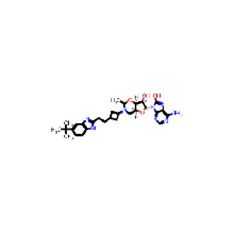 CC1O[C@H]2[C@@H](O)[C@H](n3c(O)nc4c(N)ncnc43)O[C@@H]2CN1C1CC(CCc2nc3cc(C(C)(C)C)ccc3[nH]2)C1